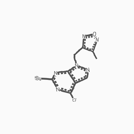 Cc1nonc1Cn1ncc2c(Cl)nc(C(C)(C)C)nc21